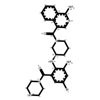 Nc1cc(Br)cc(C(=O)N2CCNCC2)c1N[C@@H]1CCCN(C(=O)c2cnc(N)c3ccccc23)C1